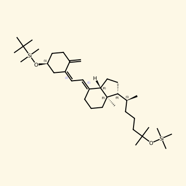 C=C1CC[C@H](O[Si](C)(C)C(C)(C)C)C/C1=C/C=C1\CCC[C@]2(C)[C@@H]([C@@H](C)CCCC(C)(C)O[Si](C)(C)C)CC[C@@H]12